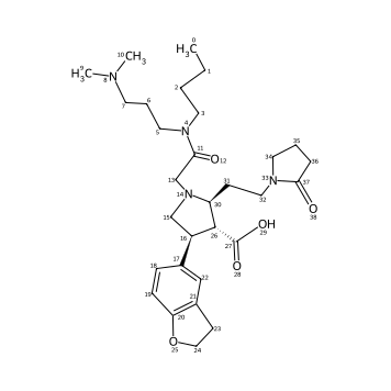 CCCCN(CCCN(C)C)C(=O)CN1C[C@H](c2ccc3c(c2)CCO3)[C@@H](C(=O)O)[C@@H]1CCN1CCCC1=O